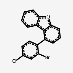 Clc1ccc(-c2cccc3oc4ccccc4c23)c(Br)c1